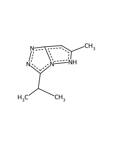 Cc1cc2nnc(C(C)C)n2[nH]1